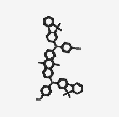 Cc1c2ccc(N(c3ccc(C(C)(C)C)cc3)c3ccc4c(c3)C(C)(C)C3=C4C=CCC3)cc2c(C)c2cc(N(c3ccc(C(C)(C)C)cc3)C3C=C4C(=CC3)c3ccccc3C4(C)C)ccc12